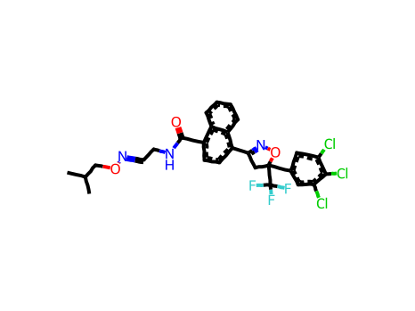 CC(C)CON=CCNC(=O)c1ccc(C2=NOC(c3cc(Cl)c(Cl)c(Cl)c3)(C(F)(F)F)C2)c2ccccc12